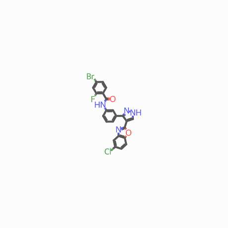 O=C(Nc1cccc(-c2n[nH]cc2-c2nc3cc(Cl)ccc3o2)c1)c1ccc(Br)cc1F